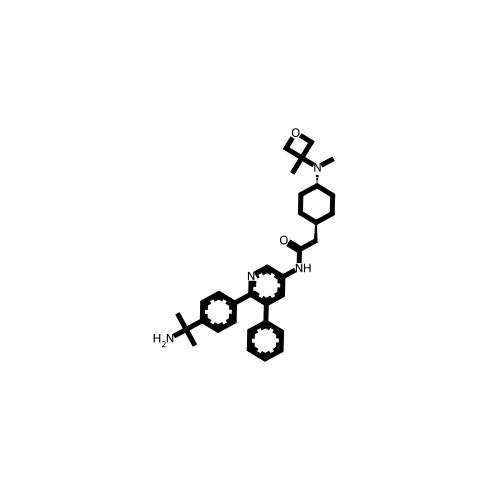 CN([C@H]1CC[C@H](CC(=O)Nc2cnc(-c3ccc(C(C)(C)N)cc3)c(-c3ccccc3)c2)CC1)C1(C)COC1